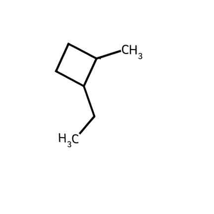 CCC1CC[C]1C